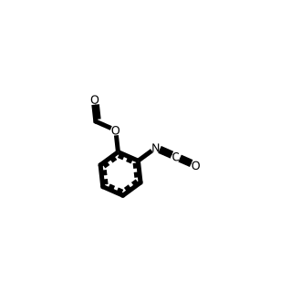 O=C=Nc1ccccc1OC=O